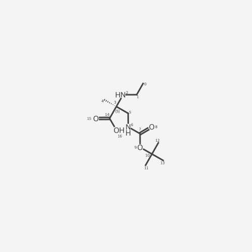 CCN[C@@](C)(CNC(=O)OC(C)(C)C)C(=O)O